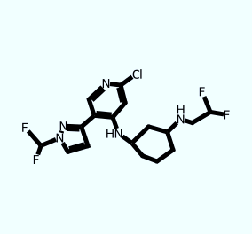 FC(F)CNC1CCCC(Nc2cc(Cl)ncc2-c2ccn(C(F)F)n2)C1